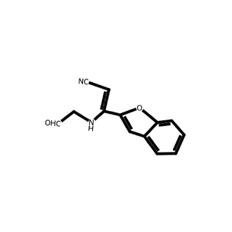 N#CC=C(NCC=O)c1cc2ccccc2o1